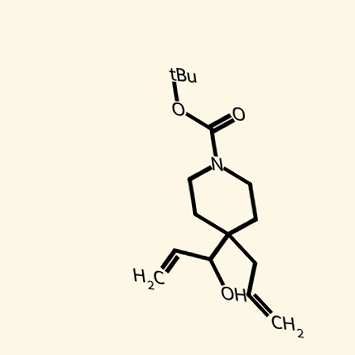 C=CCC1(C(O)C=C)CCN(C(=O)OC(C)(C)C)CC1